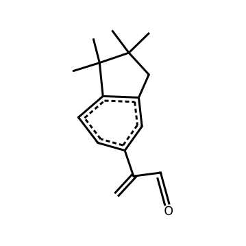 C=C(C=O)c1ccc2c(c1)CC(C)(C)C2(C)C